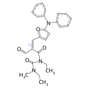 CCN(C)C(=O)N(CC)C(=O)/C(C=O)=C\c1ccc(N(c2ccccc2)c2ccccc2)o1